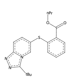 CCCOC(=O)c1ccccc1Sc1ccc2nnc(C(C)(C)C)n2c1